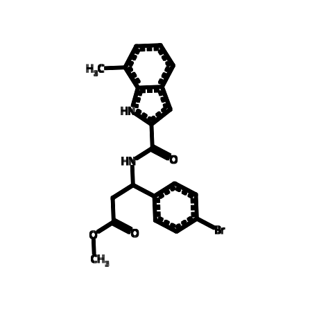 COC(=O)CC(NC(=O)c1cc2cccc(C)c2[nH]1)c1ccc(Br)cc1